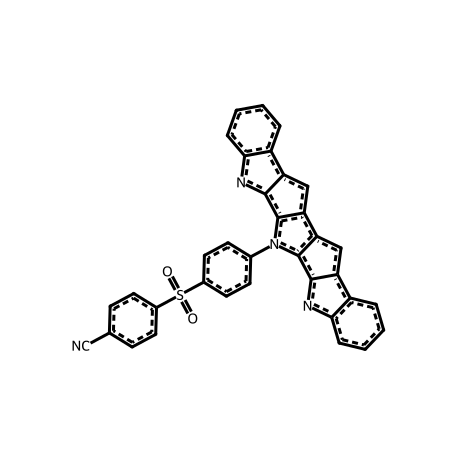 N#Cc1ccc(S(=O)(=O)c2ccc(-n3c4c5nc6ccccc6c-5cc4c4cc5c6ccccc6nc-5c43)cc2)cc1